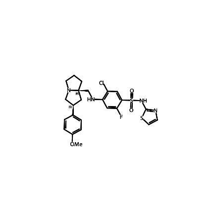 COc1ccc([C@H]2CN3CCC[C@]3(CNc3cc(F)c(S(=O)(=O)Nc4nccs4)cc3Cl)C2)cc1